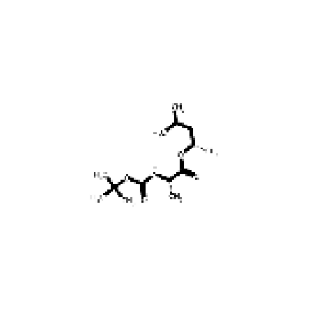 CC(C)C[C@H](C)OC(=O)[C@H](C)NC(=O)OC(C)(C)C